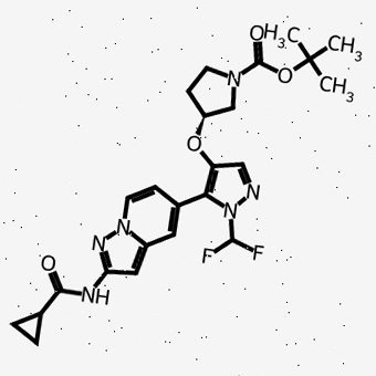 CC(C)(C)OC(=O)N1CC[C@H](Oc2cnn(C(F)F)c2-c2ccn3nc(NC(=O)C4CC4)cc3c2)C1